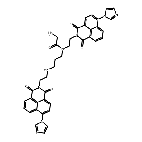 NCC(=O)N(CCCNCCN1C(=O)c2cccc3c(-n4ccnc4)ccc(c23)C1=O)CCN1C(=O)c2cccc3c(-n4ccnc4)ccc(c23)C1=O